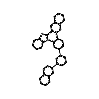 c1cc(-c2ccc3ccccc3c2)cc(-c2ccc3c4cc5ccccc5cc4c4nc5ccccc5n4c3c2)c1